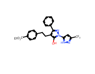 CCOC(=O)c1ccc(CCc2c(-c3ccccc3)nn(-c3cc(C(F)(F)F)n[nH]3)c2O)cc1